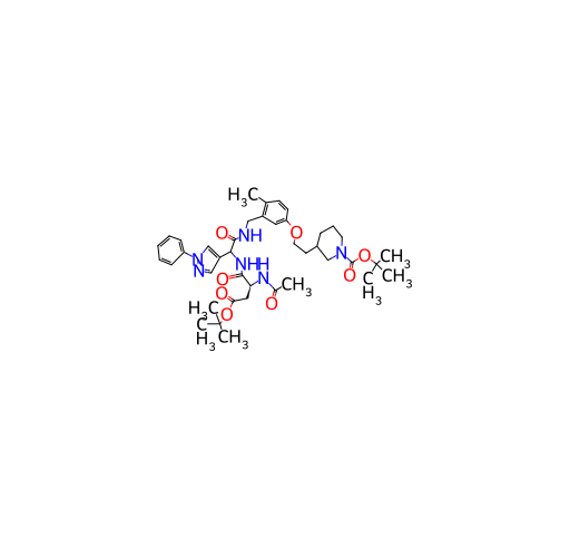 CC(=O)N[C@@H](CC(=O)OC(C)(C)C)C(=O)NC(C(=O)NCc1cc(OCCC2CCCN(C(=O)OC(C)(C)C)C2)ccc1C)c1cnn(-c2ccccc2)c1